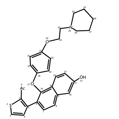 CC(=O)c1sccc1-c1ccc2cc(O)ccc2c1Oc1ccc(OCCN2CCCCC2)cc1